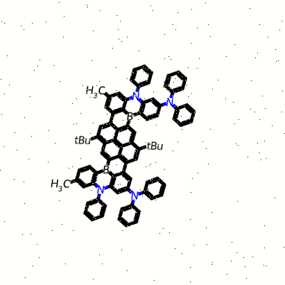 Cc1ccc2c(c1)N(c1ccccc1)c1cc(N(c3ccccc3)c3ccccc3)cc3c1B2c1cc2c(C(C)(C)C)cc4c5c(cc6c(C(C)(C)C)cc-3c1c6c25)B1c2ccc(N(c3ccccc3)c3ccccc3)cc2N(c2ccccc2)c2cc(C)cc-4c21